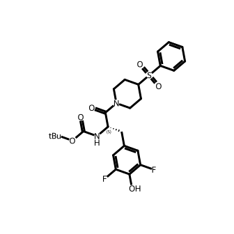 CC(C)(C)OC(=O)N[C@@H](Cc1cc(F)c(O)c(F)c1)C(=O)N1CCC(S(=O)(=O)c2ccccc2)CC1